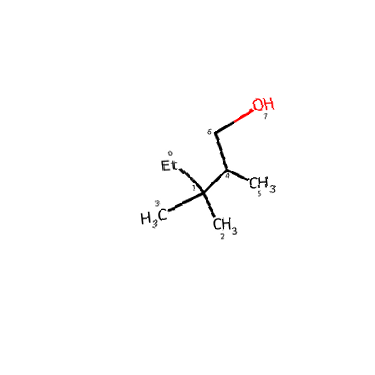 CCC(C)(C)C(C)CO